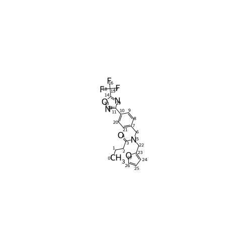 CCCC(=O)N(Cc1ccc(-c2noc(C(F)(F)F)n2)cc1)Cc1ccco1